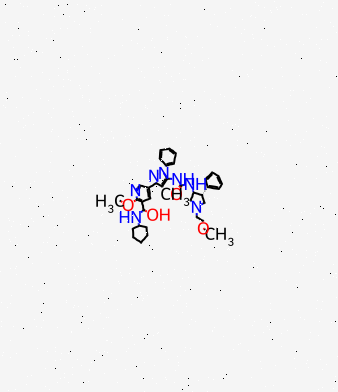 COCCN1C[C@@H](NC(=O)Nc2c(C)c(-c3cnc(OC)c(C(O)NC4CCCCC4)c3)nn2-c2ccccc2)[C@H](c2ccccc2)C1